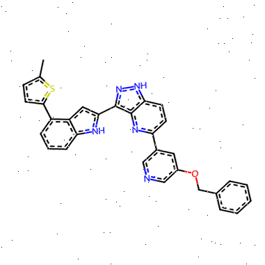 Cc1ccc(-c2cccc3[nH]c(-c4n[nH]c5ccc(-c6cncc(OCc7ccccc7)c6)nc45)cc23)s1